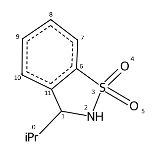 CC(C)C1NS(=O)(=O)c2ccccc21